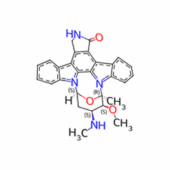 CN[C@H]1C[C@@H]2O[C@](C)([C@H]1OC)n1c3ccccc3c3c4c(c5c6ccccc6n2c5c31)CNC4=O